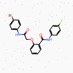 O=C(COc1ccccc1C(=O)Nc1ccc(F)cc1)Nc1ccc(Br)cc1